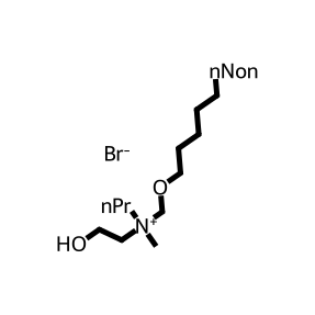 CCCCCCCCCCCCCCOC[N+](C)(CCC)CCO.[Br-]